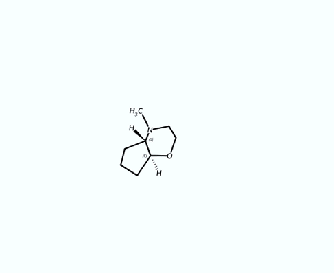 CN1CCO[C@H]2CCC[C@@H]21